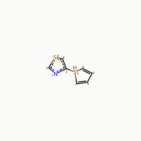 [c]1nc([SH]2C=CC=C2)cs1